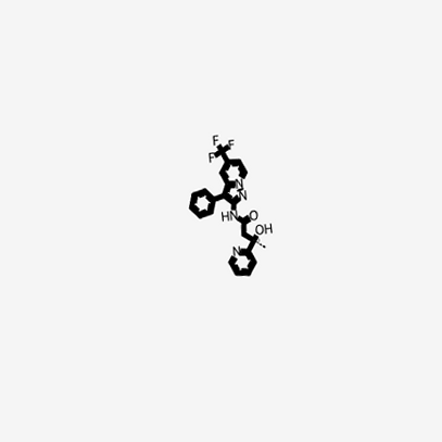 C[C@@](O)(CC(=O)Nc1nn2ccc(C(F)(F)F)cc2c1-c1ccccc1)c1ccccn1